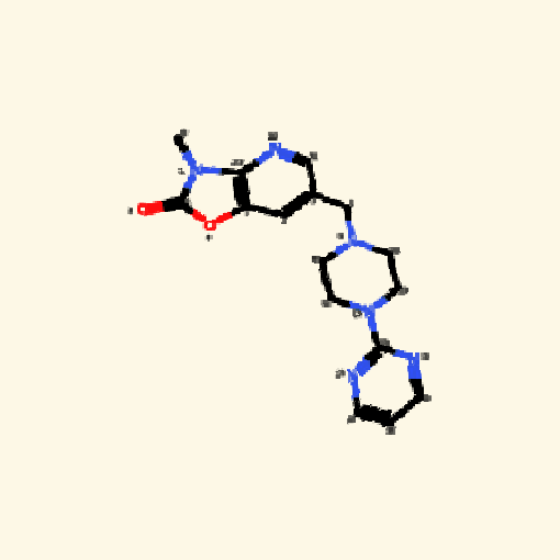 Cn1c(=O)oc2cc(CN3CCN(c4ncccn4)CC3)cnc21